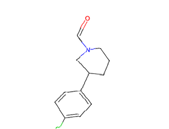 O=CN1CCCC(c2ccc(Cl)cc2)C1